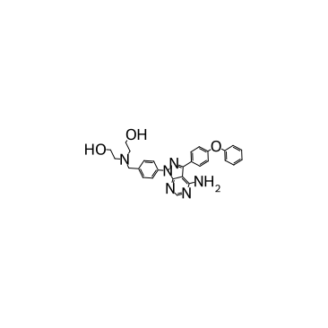 Nc1ncnc2c1c(-c1ccc(Oc3ccccc3)cc1)nn2-c1ccc(CN(CCO)CCO)cc1